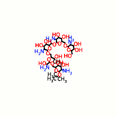 CC(O)C(COC1OC(COC2OC(COC3OC(CO)C(O)C(O)C3N)C(O)C(O)C2N)C(O)C(O)C1N)OC(OCC1OC(OC(C)(C)C)C(N)C(O)C1O)C(N)O